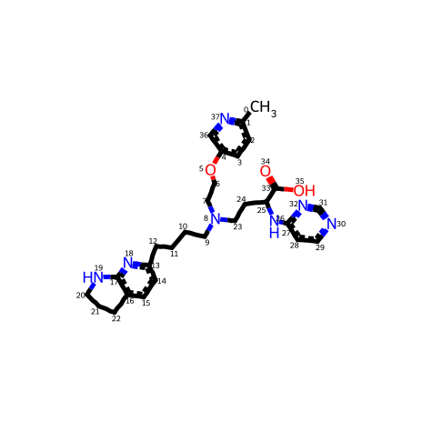 Cc1ccc(OCCN(CCCCc2ccc3c(n2)NCCC3)CCC(Nc2ccncn2)C(=O)O)cn1